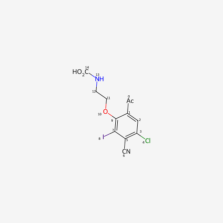 CC(=O)c1cc(Cl)c(C#N)c(I)c1OCCNC(=O)O